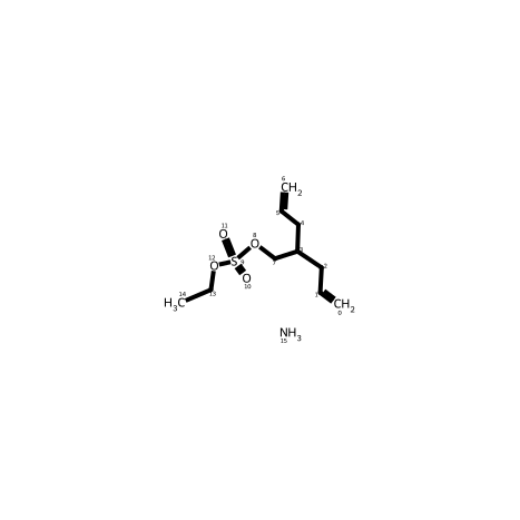 C=CCC(CC=C)COS(=O)(=O)OCC.N